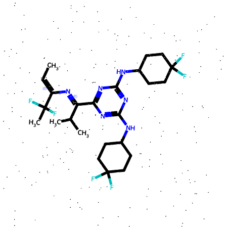 C/C=C(\N=C(\c1nc(NC2CCC(F)(F)CC2)nc(NC2CCC(F)(F)CC2)n1)C(C)C)C(C)(F)F